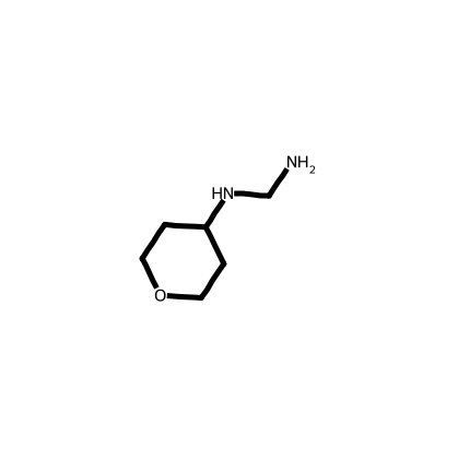 NCNC1CCOCC1